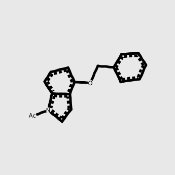 CC(=O)n1ccc2c(OCc3ccccc3)cccc21